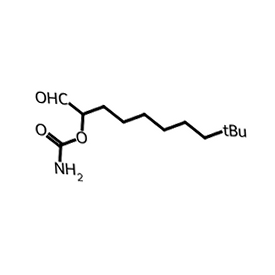 CC(C)(C)CCCCCCC(C=O)OC(N)=O